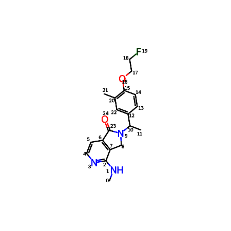 CNc1nccc2c1CN(C(C)c1ccc(OCCF)c(C)c1)C2=O